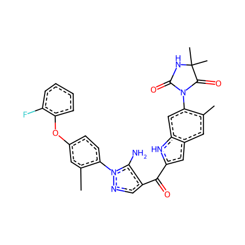 Cc1cc2cc(C(=O)c3cnn(-c4ccc(Oc5ccccc5F)cc4C)c3N)[nH]c2cc1N1C(=O)NC(C)(C)C1=O